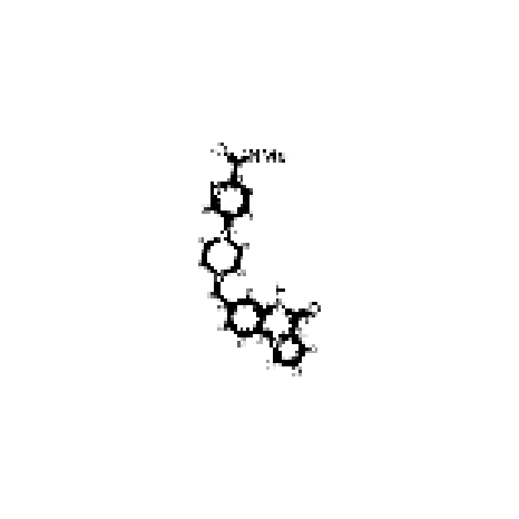 CNC(=O)c1ccc(N2CCN(Cc3ccc4c(c3)[nH]c(=O)c3cccn34)CC2)cn1